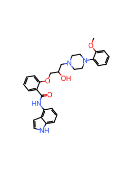 COc1ccccc1N1CCN(CC(O)COc2ccccc2C(=O)Nc2cccc3[nH]ccc23)CC1